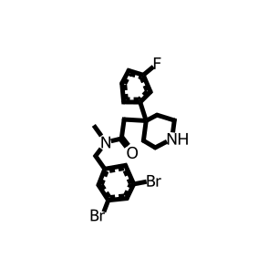 CN(Cc1cc(Br)cc(Br)c1)C(=O)CC1(c2cccc(F)c2)CCNCC1